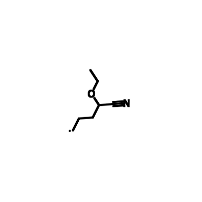 [CH2]CCC(C#N)OCC